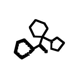 O=C(c1ccccc1)C1(N2CCCC2)CCCCC1